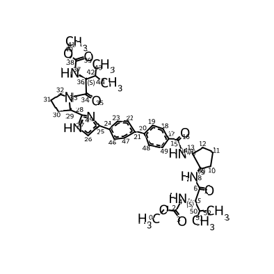 COC(=O)N[C@H](C(=O)N[C@@H]1CCC[C@H]1NC(=O)c1ccc(-c2ccc(-c3c[nH]c(C4CCCN4C(=O)[C@@H](NC(=O)OC)C(C)C)n3)cc2)cc1)C(C)C